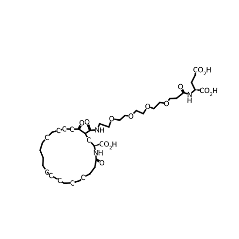 O=C(O)CC[C@H](NC(=O)CCOCCOCCOCCOCCNC(=O)C1C[C@@H](C(=O)O)NC(=O)CCCCCCCCCCCCCCCCCCC1=O)C(=O)O